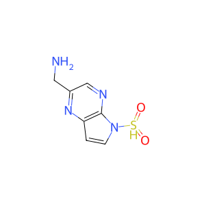 NCc1cnc2c(ccn2[SH](=O)=O)n1